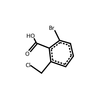 O=C(O)c1c(Br)cccc1CCl